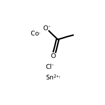 CC(=O)[O-].[Cl-].[Co].[Sn+2]